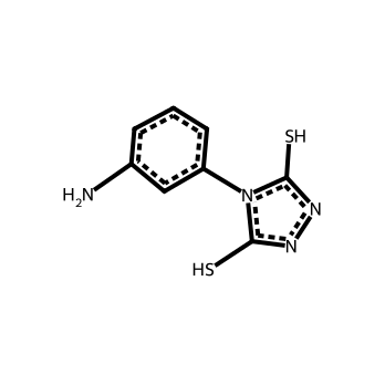 Nc1cccc(-n2c(S)nnc2S)c1